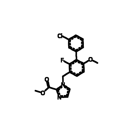 COC(=O)c1nccn1Cc1ccc(OC)c(-c2cccc(Cl)c2)c1F